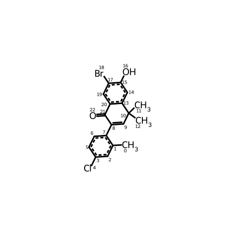 Cc1cc(Cl)ccc1C1=CC(C)(C)c2cc(O)c(Br)cc2C1=O